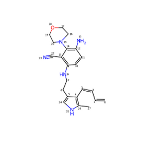 C=C/C=C\c1c(CCNc2ccc(N)c(N3CCOCC3)c2C#N)c[nH]c1C